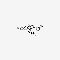 COC1CCC2(CC1)Oc1ccc(-c3cccc(C#N)c3)cc1C21CCSC(N)=N1